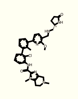 COc1nc(-c2cccc(-c3cccc(NC(=O)c4nc5c(n4C)CCN(C)C5)c3Cl)c2C)ccc1CNC[C@@H]1CCC(=O)N1